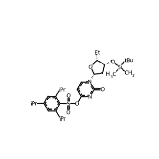 CC[C@H]1O[C@@H](n2ccc(OS(=O)(=O)c3c(C(C)C)cc(C(C)C)cc3C(C)C)nc2=O)C[C@H]1O[Si](C)(C)C(C)(C)C